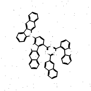 c1ccc2cc(-c3nc(-c4cccc5oc6ccccc6c45)nc(-c4ccc(-n5c6ccccc6c6cc7ccccc7cc65)c5oc6cc7ccccc7cc6c45)n3)ccc2c1